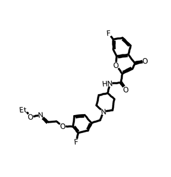 CCON=CCOc1ccc(CN2CCC(NC(=O)c3cc(=O)c4ccc(F)cc4o3)CC2)cc1F